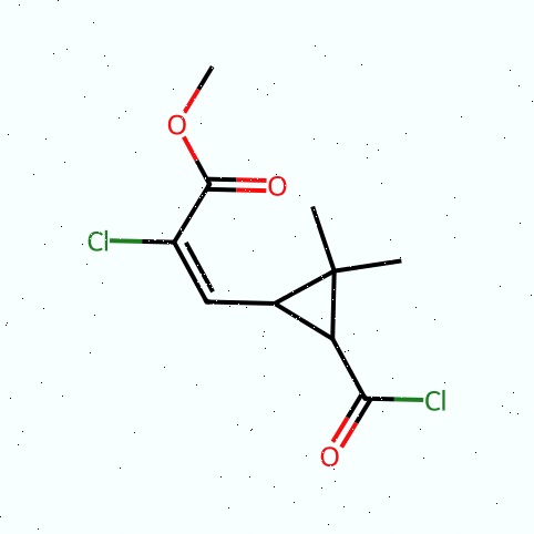 COC(=O)/C(Cl)=C\C1C(C(=O)Cl)C1(C)C